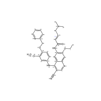 CCOc1cc2ncc(C#N)c(Nc3ccc(OCc4ccccn4)c(Cl)c3)c2cc1NC(=O)/C=C/CN(C)C.O